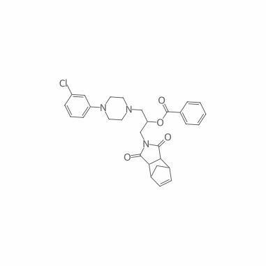 O=C(OC(CN1CCN(c2cccc(Cl)c2)CC1)CN1C(=O)C2C3C=CC(C3)C2C1=O)c1ccccc1